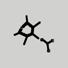 Cc1cc(C)c(C)c(C)c1C.ClB(Cl)Cl